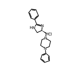 Cl.c1ccc(C2=N[C@@H](CN3CCN(c4ccccc4)CC3)CN2)cc1